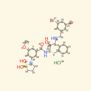 CC(C)Oc1cc(C(=O)N[C@@H](Cc2ccccc2)[C@@H](O)CNCc2cc(Br)cc(Br)c2)cc(N2CCCS2(O)O)c1.Cl